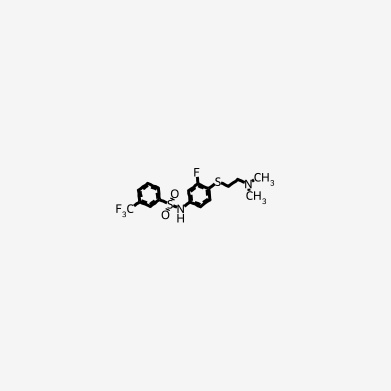 CN(C)CCSc1ccc(NS(=O)(=O)c2cccc(C(F)(F)F)c2)cc1F